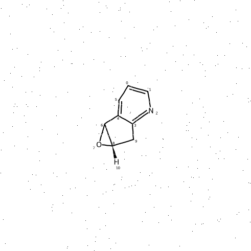 c1cnc2c(c1)C1O[C@H]1C2